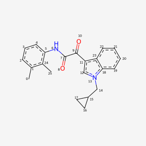 Cc1cccc(NC(=O)C(=O)c2cn(CC3CC3)c3ccccc23)c1C